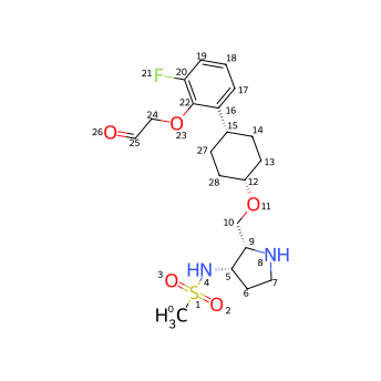 CS(=O)(=O)N[C@H]1CCN[C@H]1CO[C@H]1CC[C@@H](c2cccc(F)c2OCC=O)CC1